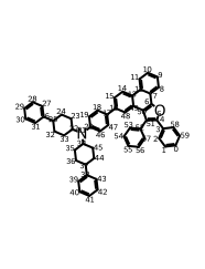 c1ccc(-c2oc3c4ccccc4c4ccc(-c5ccc(N(C6CCC(c7ccccc7)CC6)C6CCC(c7ccccc7)CC6)cc5)cc4c3c2-c2ccccc2)cc1